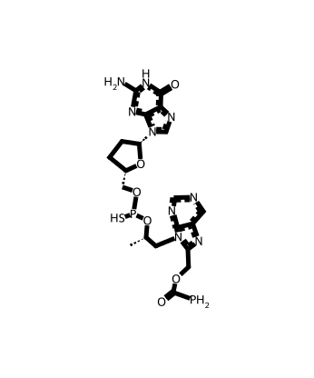 C[C@@H](Cn1c(COC(=O)P)nc2cncnc21)OP(S)OC[C@@H]1CC[C@H](n2cnc3c(=O)[nH]c(N)nc32)O1